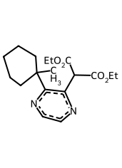 CCOC(=O)C(C(=O)OCC)c1nccnc1C1(C)CCCCC1